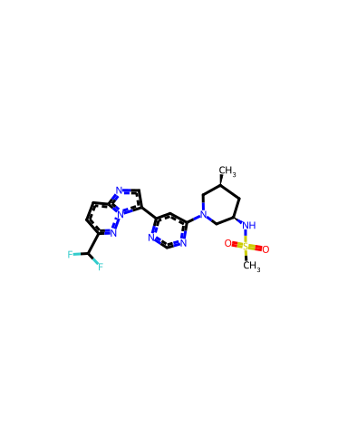 C[C@H]1C[C@@H](NS(C)(=O)=O)CN(c2cc(-c3cnc4ccc(C(F)F)nn34)ncn2)C1